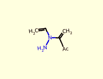 C=CN(N)C(=C)C(C)=O